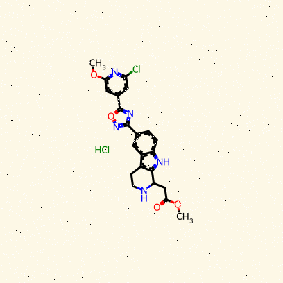 COC(=O)CC1NCCc2c1[nH]c1ccc(-c3noc(-c4cc(Cl)nc(OC)c4)n3)cc21.Cl